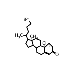 CC(C)CCCC(C)C1CCC2C3CCC4=CC(=O)CC[C@]4(C)C3CC[C@]12C